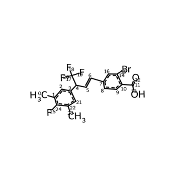 Cc1cc(C(C=Cc2ccc(C(=O)O)c(Br)c2)C(F)(F)F)cc(C)c1F